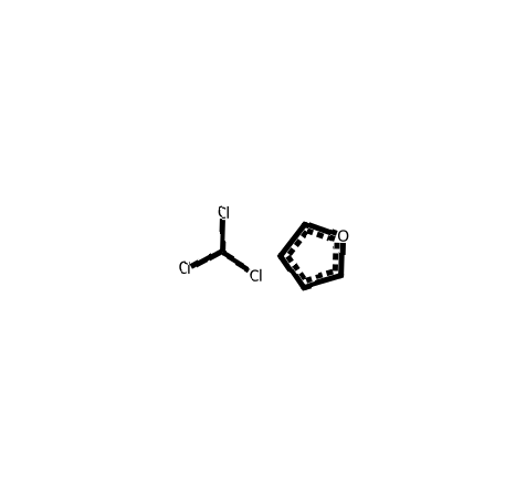 ClC(Cl)Cl.c1ccoc1